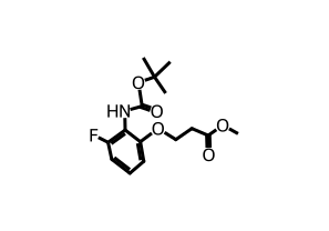 COC(=O)CCOc1cccc(F)c1NC(=O)OC(C)(C)C